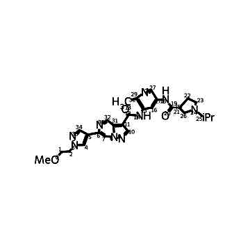 COCCn1cc(-c2cn3ncc(C(=O)Nc4cc(NC(=O)[C@H]5CCN(C(C)C)C5)cnc4C)c3cn2)cn1